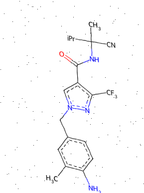 Cc1cc(Cn2cc(C(=O)NC(C)(C#N)C(C)C)c(C(F)(F)F)n2)ccc1N